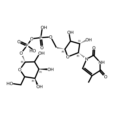 Cc1cn([C@@H]2O[C@H](COP(=O)(O)OP(=O)(O)O[C@H]3OC(CO)[C@H](O)[C@H](O)C3O)C(O)[C@@H]2O)c(=O)[nH]c1=O